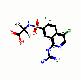 CC(C)(NS(=O)(=O)c1ccc2c(Cl)cnc(NC(=N)N)c2c1)C(=O)O.Cl